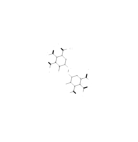 CC1C(SSC2CC(C(=O)O)C(C(=O)O)C(C(=O)O)C2C)CC(C(=O)O)C(C(=O)O)C1C(=O)O